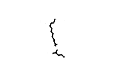 CCCCC(CC)COC(=O)CCCCCCCC(C)CC(C)=O